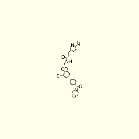 CN(C)c1ccc(/C=C/C(=O)NCc2cc3cc(-c4ccc(C(=O)N5CCOCC5)cc4)cc(Cl)c3o2)cn1